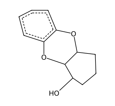 OC1CCCC2Oc3ccccc3OC12